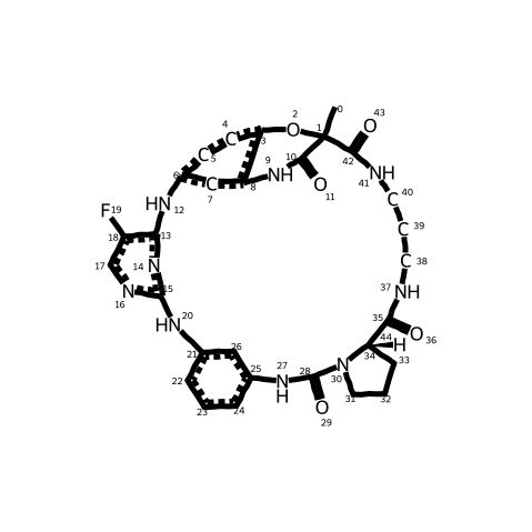 CC12Oc3ccc(cc3NC1=O)Nc1nc(ncc1F)Nc1cccc(c1)NC(=O)N1CCC[C@H]1C(=O)NCCCNC2=O